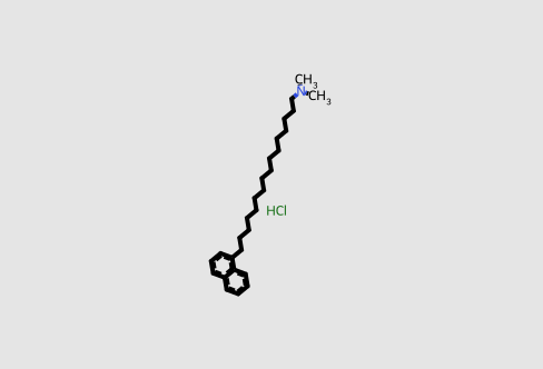 CN(C)CCCCCCCCCCCCCCCCc1cccc2ccccc12.Cl